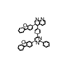 C1=CC(c2cc(-c3ccc4c(c3)oc3ccccc34)nc(-c3ccccc3)n2)CC=C1c1c(-c2ccc3c(c2)oc2ccccc23)cnc2ncccc12